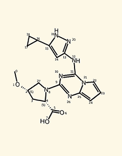 CO[C@H]1C[C@@H](C(=O)O)N(c2nc(Nc3cc(C4CC4)[nH]n3)n3cccc3n2)C1